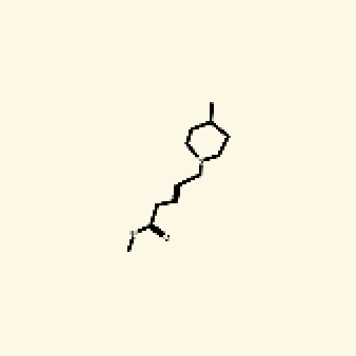 CNC(=O)C/C=C/CN1CCC(C)CC1